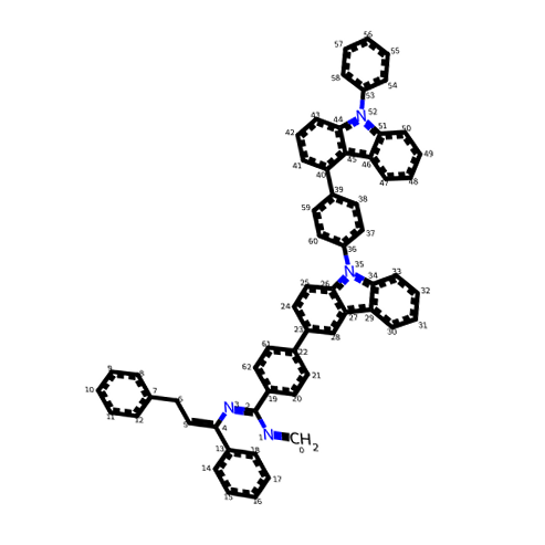 C=N/C(=N\C(=C/Cc1ccccc1)c1ccccc1)c1ccc(-c2ccc3c(c2)c2ccccc2n3-c2ccc(-c3cccc4c3c3ccccc3n4-c3ccccc3)cc2)cc1